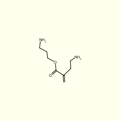 C=C(CCN)C(=O)OCCCN